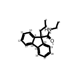 CCCC1(C(=O)NCC)c2ccccc2-c2ccccc21